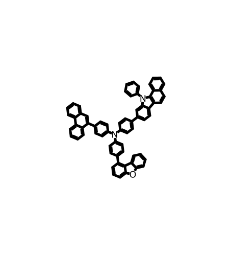 c1ccc(-n2c3cc(-c4ccc(N(c5ccc(-c6cc7ccccc7c7ccccc67)cc5)c5ccc(-c6cccc7oc8ccccc8c67)cc5)cc4)ccc3c3ccc4ccccc4c32)cc1